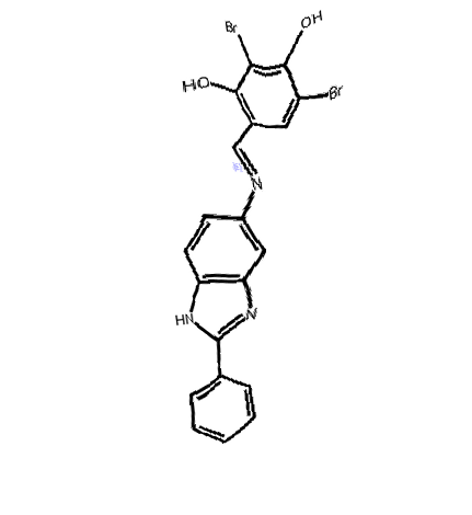 Oc1c(Br)cc(/C=N/c2ccc3[nH]c(-c4ccccc4)nc3c2)c(O)c1Br